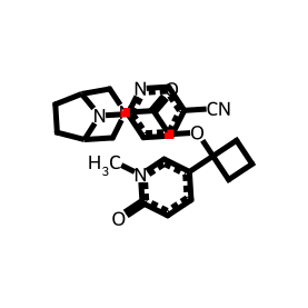 Cn1cc(C2(OCC(=O)N3CC4CCC(C3)N4c3ccc(C#N)cn3)CCC2)ccc1=O